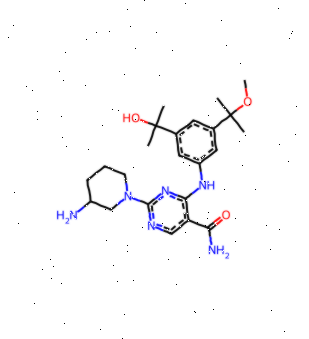 COC(C)(C)c1cc(Nc2nc(N3CCCC(N)C3)ncc2C(N)=O)cc(C(C)(C)O)c1